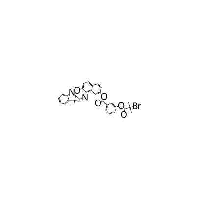 CN1c2ccccc2C(C)(C)C12C=Nc1c(ccc3ccc(OC(=O)c4cccc(OC(=O)C(C)(C)Br)c4)cc13)O2